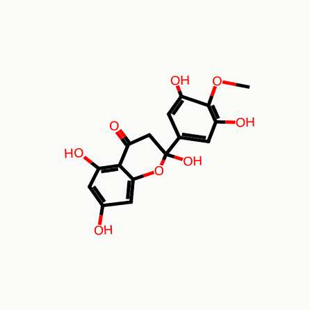 COc1c(O)cc(C2(O)CC(=O)c3c(O)cc(O)cc3O2)cc1O